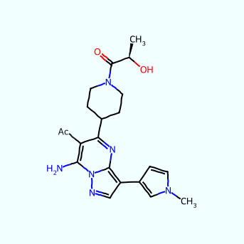 CC(=O)c1c(C2CCN(C(=O)[C@@H](C)O)CC2)nc2c(-c3ccn(C)c3)cnn2c1N